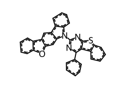 c1ccc(-c2nc(-n3c4ccccc4c4cc5c(cc43)oc3ccccc35)nc3sc4ccccc4c23)cc1